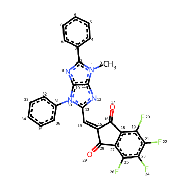 Cn1c(-c2ccccc2)nc2c1nc(C=C1C(=O)c3c(F)c(F)c(F)c(F)c3C1=O)n2-c1ccccc1